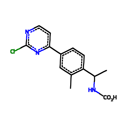 Cc1cc(-c2ccnc(Cl)n2)ccc1C(C)NC(=O)O